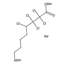 CCCCCCCCCCCCCCC(Cl)C(Cl)(Cl)C(Cl)(Cl)C(=O)OC.[Na]